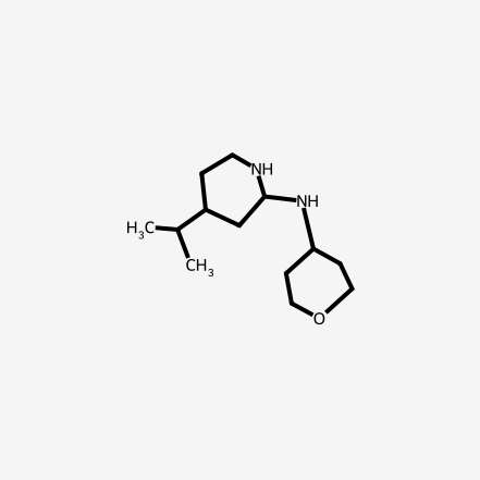 CC(C)C1CCNC(NC2CCOCC2)C1